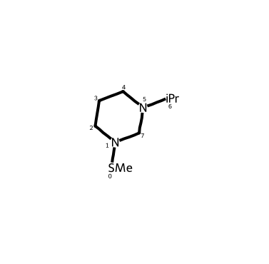 CSN1CCCN(C(C)C)C1